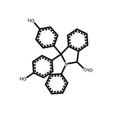 O=CC1c2ccccc2C(c2ccc(O)cc2)(c2ccc(O)cc2)N1c1ccccc1